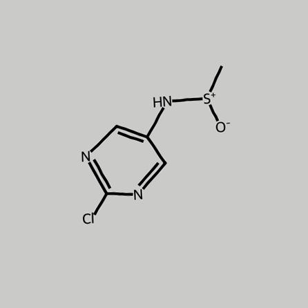 C[S+]([O-])Nc1cnc(Cl)nc1